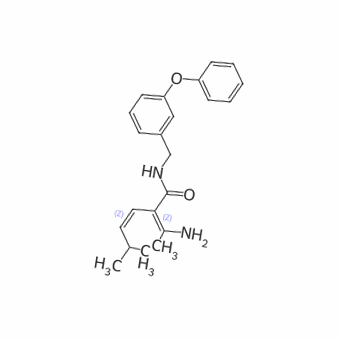 C/C(N)=C(\C=C/C(C)C)C(=O)NCc1cccc(Oc2ccccc2)c1